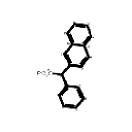 CCOC(=O)C(c1ccccc1)c1ccc2ccccc2c1